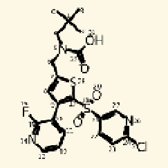 CC(C)(C)CN(Cc1cc(-c2cccnc2F)c(S(=O)(=O)c2ccc(Cl)nc2)s1)C(=O)O